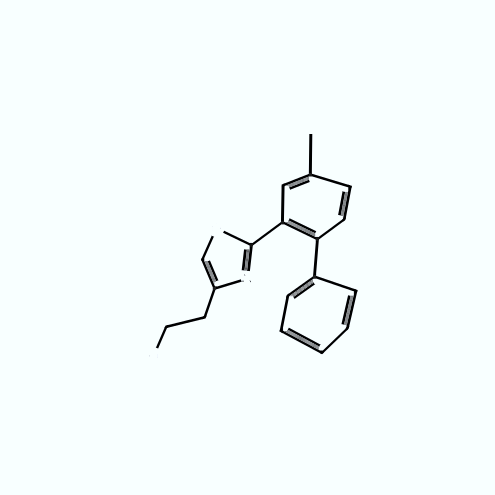 Cc1ccc(-c2ccccc2)c(-c2nc(CCO)co2)c1